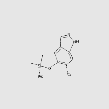 CC(C)(C)[Si](C)(C)Oc1cc2cn[nH]c2cc1Cl